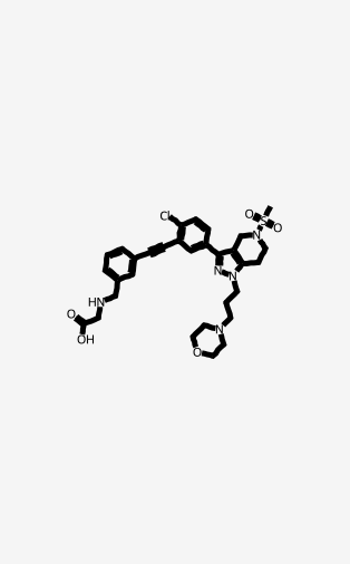 CS(=O)(=O)N1CCc2c(c(-c3ccc(Cl)c(C#Cc4cccc(CNCC(=O)O)c4)c3)nn2CCCN2CCOCC2)C1